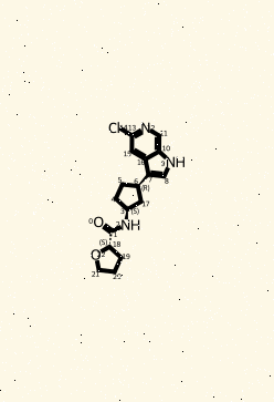 O=C(N[C@H]1CC[C@@H](c2c[nH]c3cnc(Cl)cc23)C1)[C@@H]1CCCO1